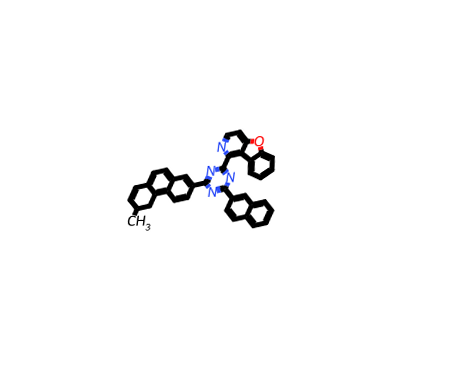 CC1C=Cc2ccc3cc(-c4nc(-c5ccc6ccccc6c5)nc(-c5nccc6oc7ccccc7c56)n4)ccc3c2C1